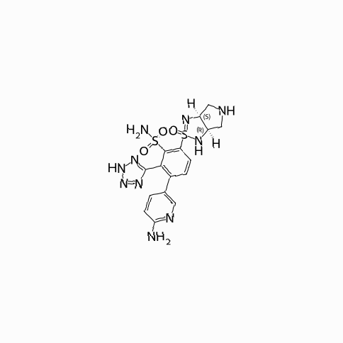 Nc1ccc(-c2ccc(S3(=O)=N[C@H]4CNC[C@H]4N3)c(S(N)(=O)=O)c2-c2nn[nH]n2)cn1